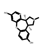 CN1C[C@@H]2c3ncc(O)cc3Oc3ccc(O)cc3[C@@H]2C1